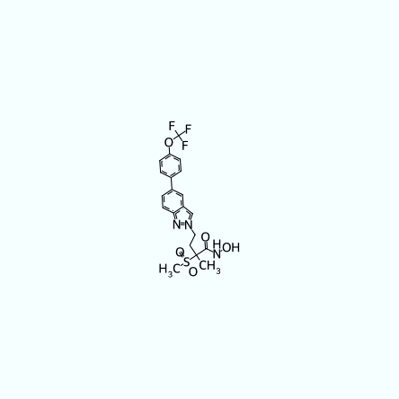 CC(CCn1cc2cc(-c3ccc(OC(F)(F)F)cc3)ccc2n1)(C(=O)NO)S(C)(=O)=O